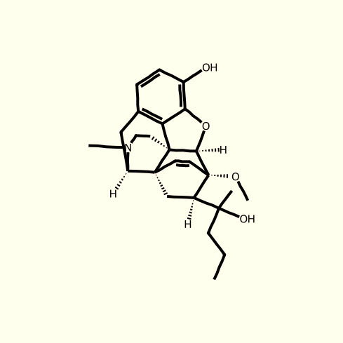 CCCC(C)(O)[C@H]1C[C@@]23C=C[C@@]1(OC)[C@@H]1Oc4c(O)ccc5c4[C@@]12CCN(C)[C@@H]3C5